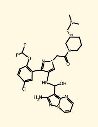 CN(C)C[C@@H]1CCCN(C(=O)Cn2cc(NC(O)c3c(N)nn4cccnc34)c(-c3cc(Cl)ccc3OC(F)F)n2)C1